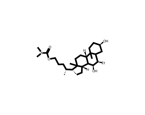 CC[C@@H]1C2C[C@H](O)CCC2(C)[C@H]2CCC3(C)[C@@H]([C@H](C)CCCOC(=O)N(C)C)CC[C@H]3C2[C@@H]1O